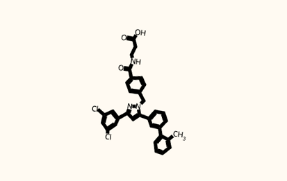 Cc1ccccc1-c1cccc(-c2cc(-c3cc(Cl)cc(Cl)c3)nn2Cc2ccc(C(=O)NCCC(=O)O)cc2)c1